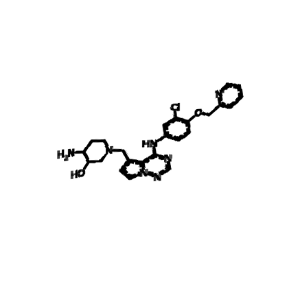 NC1CCN(Cc2ccn3ncnc(Nc4ccc(OCc5ccccn5)c(Cl)c4)c23)CC1O